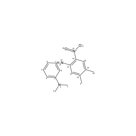 CN(C)c1ccccc1.Cc1cc(N)c([N+](=O)[O-])cc1C